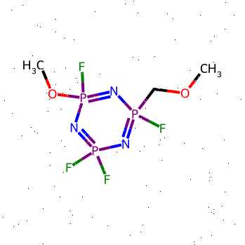 COCP1(F)=NP(F)(F)=NP(F)(OC)=N1